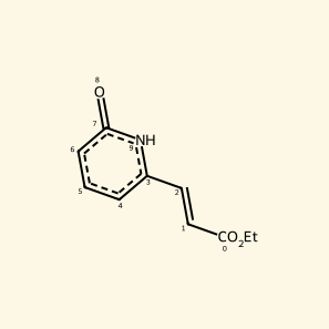 CCOC(=O)/C=C/c1cccc(=O)[nH]1